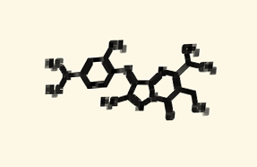 CCc1c(C(C)C)nc2n(c1=O)N=C(C)C2=Nc1ccc(N(C)C)cc1C